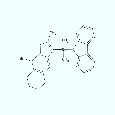 CC1=C([Si](C)(C)C2c3ccccc3-c3ccccc32)C2=CC3=C(CCCC3)C(Br)C2=C1